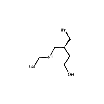 CC(C)C[C@@H](CCO)CNCC(C)(C)C